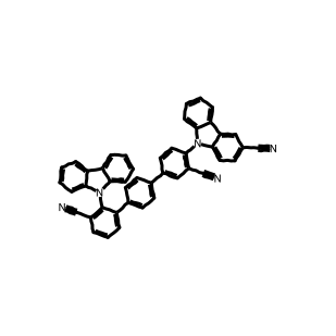 N#Cc1ccc2c(c1)c1ccccc1n2-c1ccc(-c2ccc(-c3cccc(C#N)c3-n3c4ccccc4c4ccccc43)cc2)cc1C#N